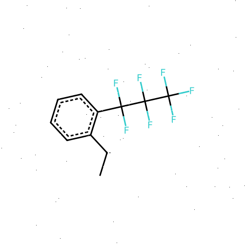 C[CH]c1ccccc1C(F)(F)C(F)(F)C(F)(F)F